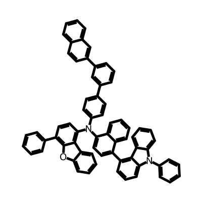 c1ccc(-c2ccc(N(c3ccc(-c4cccc(-c5ccc6ccccc6c5)c4)cc3)c3ccc(-c4cccc5c4c4ccccc4n5-c4ccccc4)c4ccccc34)c3c2oc2ccccc23)cc1